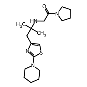 CC(C)(Cc1csc(N2CCCCC2)n1)NCC(=O)N1CCCC1